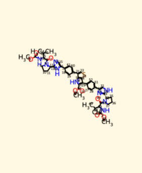 COC(=O)N[C@H](C(=O)N1CCCC1c1ncc(-c2ccc(-c3csc4c(-c5ccc(-c6c[nH]c([C@@H]7CCCN7C(=O)[C@@H](NC(=O)OC)C(C)C)n6)cc5)c(C(=O)OC)[nH]c34)cc2)[nH]1)C(C)C